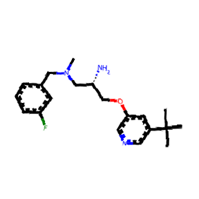 CN(Cc1cccc(F)c1)C[C@H](N)COc1cncc(C(C)(C)C)c1